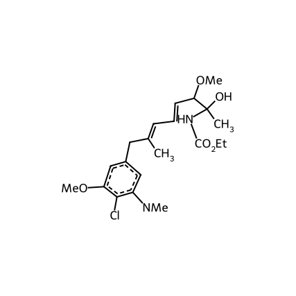 CCOC(=O)NC(C)(O)C(/C=C/C=C(\C)Cc1cc(NC)c(Cl)c(OC)c1)OC